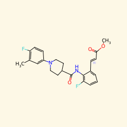 COC(=O)/C=C/c1cccc(F)c1NC(=O)C1CCN(c2ccc(F)c(C)c2)CC1